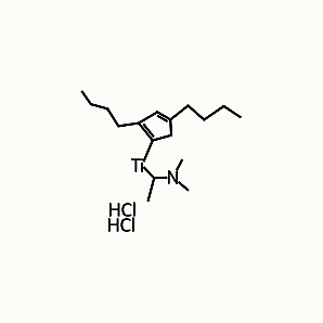 CCCCC1=CC(CCCC)=[C]([Ti][CH](C)N(C)C)C1.Cl.Cl